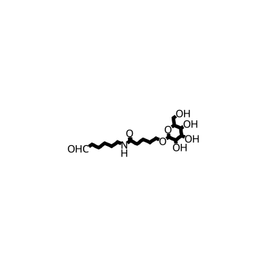 O=CCCCCCNC(=O)CCCCOC1OC(CO)C(O)C(O)C1O